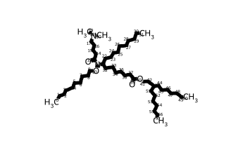 CCCCCCCCCCON(C(=O)CCCCN(C)C)C(CCCCCCCCCC)CCCCCCC(=O)OCCC(CCCCCCC)CCCCCCC